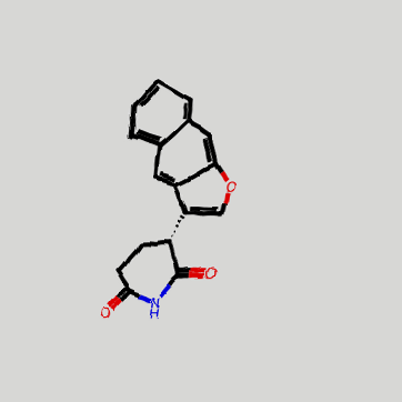 O=C1CC[C@H](c2coc3cc4ccccc4cc23)C(=O)N1